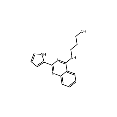 OCCCNc1nc(-c2ccc[nH]2)nc2ccccc12